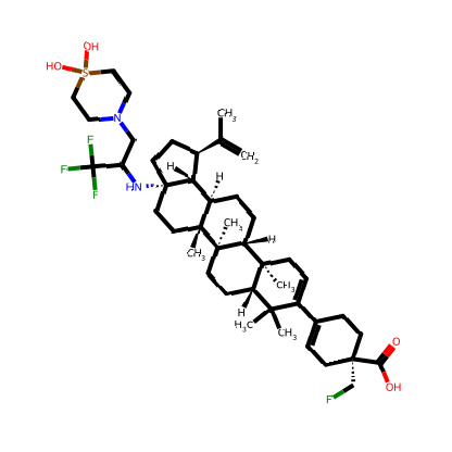 C=C(C)[C@@H]1CC[C@]2(NC(CN3CCS(O)(O)CC3)C(F)(F)F)CC[C@]3(C)[C@H](CC[C@@H]4[C@@]5(C)CC=C(C6=CC[C@](CF)(C(=O)O)CC6)C(C)(C)[C@@H]5CC[C@]43C)[C@@H]12